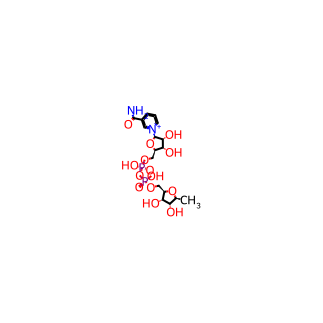 C[C@@H]1O[C@H](COP(=O)(O)OP(=O)(O)OC[C@H]2O[C@@H]([n+]3cccc(C(N)=O)c3)[C@H](O)[C@@H]2O)[C@@H](O)[C@H]1O